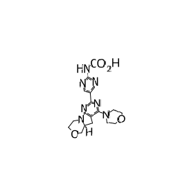 O=C(O)Nc1ncc(-c2nc(N3CCOCC3)c3c(n2)N2CCOC[C@H]2C3)cn1